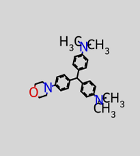 CN(C)c1ccc(C(c2ccc(N(C)C)cc2)c2ccc(N3CCOCC3)cc2)cc1